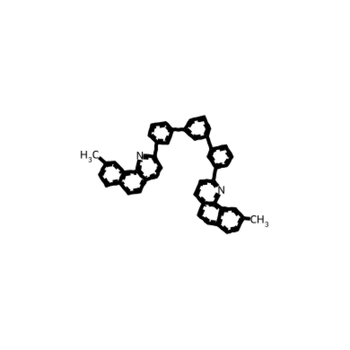 Cc1ccc2ccc3ccc(-c4cccc(-c5cccc(-c6cccc(-c7ccc8ccc9ccc(C)cc9c8n7)c6)c5)c4)nc3c2c1